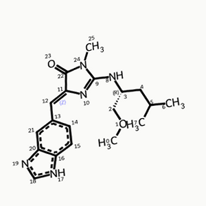 COC[C@@H](CC(C)C)NC1=N/C(=C\c2ccc3[nH]cnc3c2)C(=O)N1C